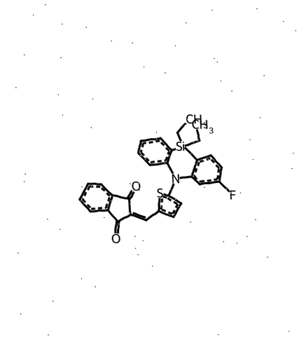 CC[Si]1(CC)c2ccccc2N(c2ccc(C=C3C(=O)c4ccccc4C3=O)s2)c2cc(F)ccc21